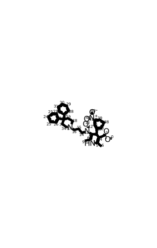 COC(=O)C1=C(C)NC(C)=C(N(C=O)CCCN2CCC(c3ccccc3)(c3ccccc3)CC2)C1c1cccc([N+](=O)[O-])c1